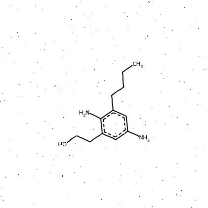 CCCCc1cc(N)cc(CCO)c1N